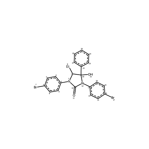 CCC1N(c2ccc(Br)cc2)C(=O)N(c2ccc(Br)cc2)C1(O)c1ccccc1